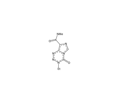 CCn1nnc2c(C(=O)NC)ncn2c1=O